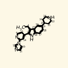 CCc1c(-c2ccnc(-n3ccnc3)c2)[nH]c2ccc(C3CCNCC3)cc12